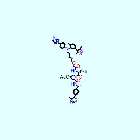 CC(=O)OC1CC(C(=O)N[C@@H](C)c2ccc(-c3scnc3C)cc2)N(C(=O)C(NC(=O)COCCCCCN(c2ccc(-n3ccnc3)cc2)c2cc(-c3c(C)noc3C)ccc2C)C(C)(C)C)C1